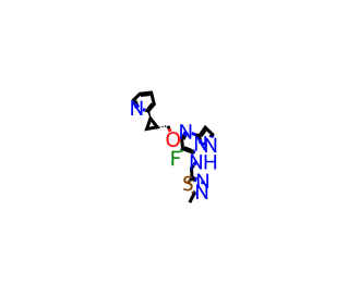 Cc1nnc(CNc2c(F)c(OC[C@@H]3C[C@H]3c3ccccn3)nc3ccnn23)s1